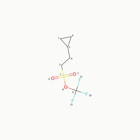 O=S(=O)(CCC1CC1)OC(F)(F)F